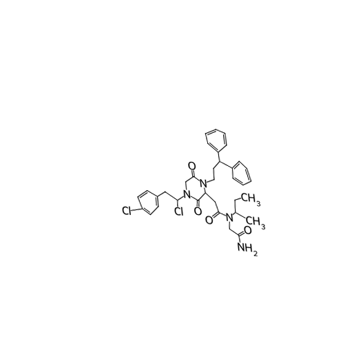 CCC(C)N(CC(N)=O)C(=O)CC1C(=O)N(C(Cl)Cc2ccc(Cl)cc2)CC(=O)N1CCC(c1ccccc1)c1ccccc1